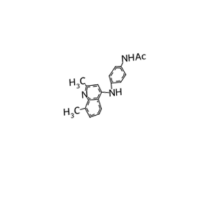 CC(=O)Nc1ccc(Nc2cc(C)nc3c(C)cccc23)cc1